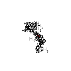 CCc1c2c(nc3ccc(O)cc13)-c1cc3c(c(=O)n1C2)COC(=O)C3(CC)OC(=O)N1CCN(c2ccc(-n3c(O)nnc3-c3cc(C(C)C)c(O)cc3O)cc2)CC1